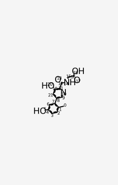 Cc1ccc(O)cc1-c1cnc(C(=O)NCC(=O)O)c(O)c1